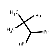 CCCCC(C)(C)C(CCC)[C](C)C